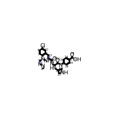 C=N/N=C\N(N)c1ccc(Cl)cc1/C=C/C(=O)N[C@@H](CC1CNC1)C(=O)Nc1ccc(C(=O)O)cc1